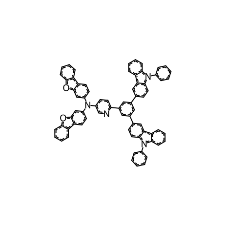 c1ccc(-n2c3ccccc3c3cc(-c4cc(-c5ccc6c(c5)c5ccccc5n6-c5ccccc5)cc(-c5ccc(N(c6ccc7c(c6)oc6ccccc67)c6ccc7c(c6)oc6ccccc67)cn5)c4)ccc32)cc1